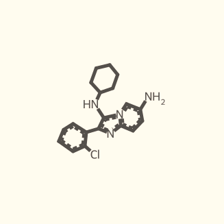 Nc1ccc2nc(-c3ccccc3Cl)c(NC3CCCCC3)n2c1